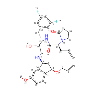 C=CCO[C@@H]1C[C@H](NC[C@H](O)[C@H](Cc2cc(F)cc(F)c2)NC(=O)[C@H](CC=C)N2CCCC2=O)c2cc(OC)ccc21